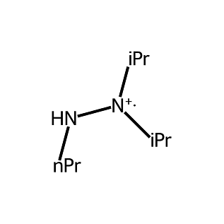 CCCN[N+](C(C)C)C(C)C